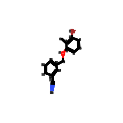 Cc1c(Br)cccc1OCc1cccc(C#N)c1